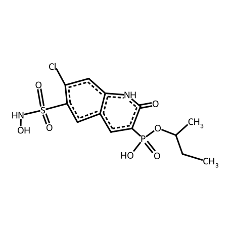 CCC(C)OP(=O)(O)c1cc2cc(S(=O)(=O)NO)c(Cl)cc2[nH]c1=O